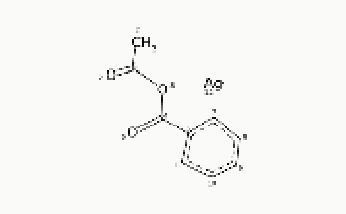 CC(=O)OC(=O)c1ccccc1.[Ag]